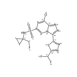 O=S(=O)(NC1(CF)CC1)c1cc(Cl)c2nnc(-c3nnc(C(F)F)s3)n2c1